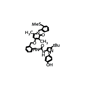 CSc1ccccc1Cn1c(C)cc(OCc2ccccc2CNC(=O)Nc2cc(C(C)(C)C)nn2-c2ccc(O)cc2)c(C)c1=O